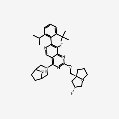 CC(C)c1cccc(C(C)(C)C)c1-c1ncc2c(N3CC4CCC(C3)N4)nc(OC[C@@]34CCCN3C[C@H](F)C4)nc2c1F